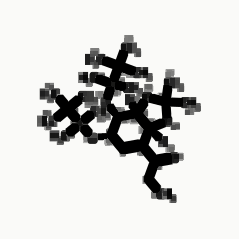 CCC(=O)C1=C[C@H](O[Si](C)(C)C(C)(C)C)[C@@H](O[Si](C)(C)C(C)(C)C)[C@@H]2OC(C)(C)O[C@H]12